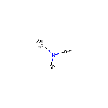 CCCN(CCC)CCC.[Au]